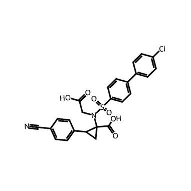 N#Cc1ccc(C2CC2(C(=O)O)N(CC(=O)O)S(=O)(=O)c2ccc(-c3ccc(Cl)cc3)cc2)cc1